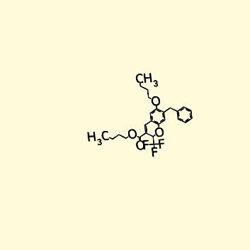 CCCCOC(=O)C1=Cc2cc(OCCCC)c(Cc3ccccc3)cc2OC1C(F)(F)F